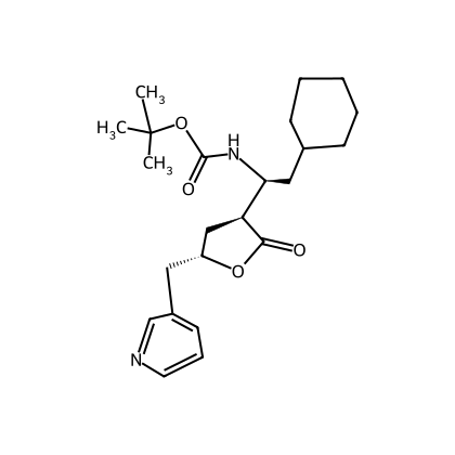 CC(C)(C)OC(=O)N[C@@H](CC1CCCCC1)[C@@H]1C[C@@H](Cc2cccnc2)OC1=O